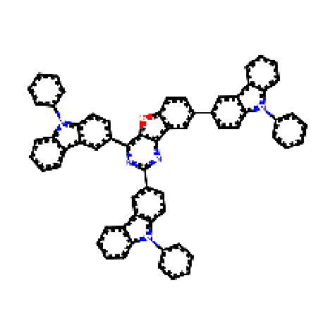 c1ccc(-n2c3ccccc3c3cc(-c4ccc5oc6c(-c7ccc8c(c7)c7ccccc7n8-c7ccccc7)nc(-c7ccc8c(c7)c7ccccc7n8-c7ccccc7)nc6c5c4)ccc32)cc1